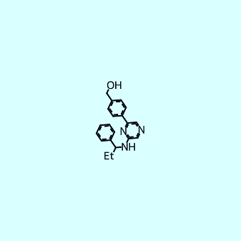 CCC(Nc1cncc(-c2ccc(CO)cc2)n1)c1ccccc1